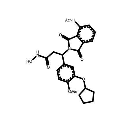 COc1ccc(C(CC(=O)NO)N2C(=O)c3cccc(NC(C)=O)c3C2=O)cc1OC1CCCC1